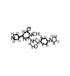 Cn1c(N2CCOC(c3ccc(N4CCCC4)cc3)C2)nc(-c2ccncc2)cc1=O